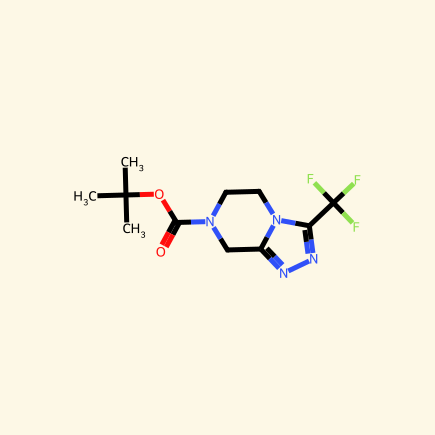 CC(C)(C)OC(=O)N1CCn2c(nnc2C(F)(F)F)C1